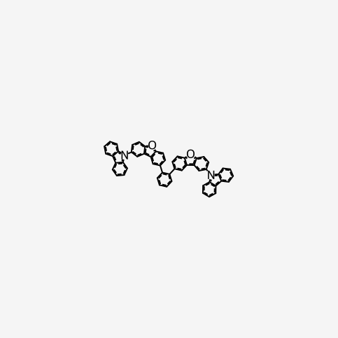 c1ccc(-c2ccc3oc4ccc(-n5c6ccccc6c6ccccc65)cc4c3c2)c(-c2ccc3oc4ccc(-n5c6ccccc6c6ccccc65)cc4c3c2)c1